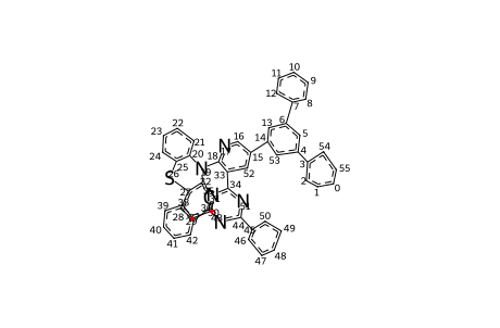 c1ccc(-c2cc(-c3ccccc3)cc(-c3cnc(N4c5ccccc5Sc5ccccc54)c(-c4nc(-c5ccccc5)nc(-c5ccccc5)n4)c3)c2)cc1